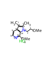 COCCn1c(C)c(C)c2ccnc(OC)c21.Cl